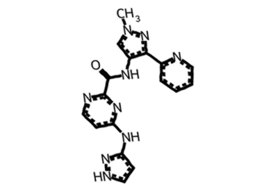 Cn1cc(NC(=O)c2nccc(Nc3cc[nH]n3)n2)c(-c2ccccn2)n1